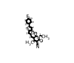 CCN1C(=O)C(C#N)=C(C)/C(=C/c2cc3sc(-c4ccc(F)cc4)cc3o2)C1=O